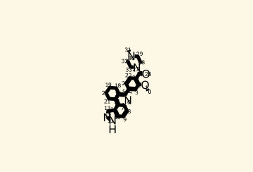 COc1cc(-c2nc3ccc4[nH]ncc4c3c3c2CCCC3)ccc1C(=O)N1CCN(C)CC1